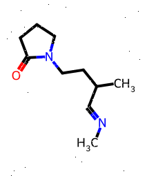 CN=CC(C)CCN1CCCC1=O